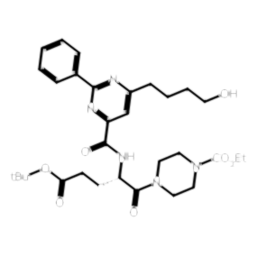 CCOC(=O)N1CCN(C(=O)[C@H](CCC(=O)OC(C)(C)C)NC(=O)c2cc(CCCCO)nc(-c3ccccc3)n2)CC1